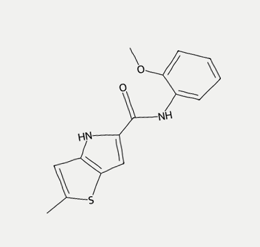 COc1ccccc1NC(=O)c1cc2sc(C)cc2[nH]1